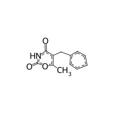 Cc1oc(=O)[nH]c(=O)c1Cc1ccccc1